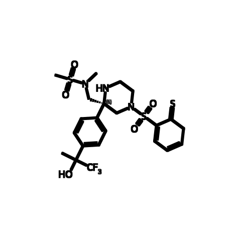 CN(C[C@@]1(c2ccc(C(C)(O)C(F)(F)F)cc2)CN(S(=O)(=O)C2=CC=CCC2=S)CCN1)S(C)(=O)=O